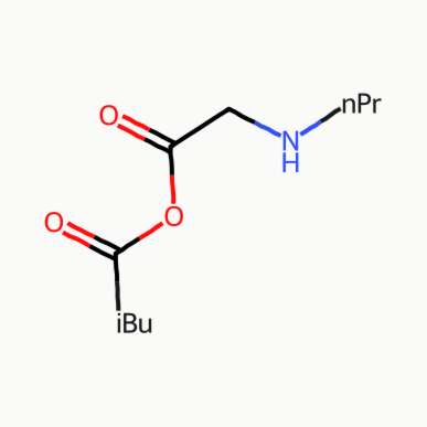 CCCNCC(=O)OC(=O)C(C)CC